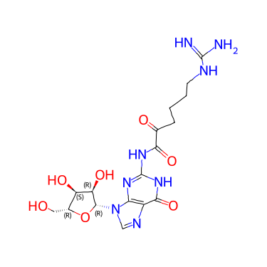 N=C(N)NCCCCC(=O)C(=O)Nc1nc2c(ncn2[C@@H]2O[C@H](CO)[C@@H](O)[C@H]2O)c(=O)[nH]1